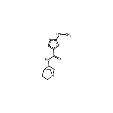 CNc1ncc(C(=O)NC2CN3CCC2C3)s1